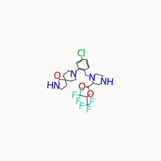 O=C(OC(C(F)(F)F)C(F)(F)F)C1CNCCN1Cc1ccc(Cl)cc1N1CCC2(CCNC2=O)CC1